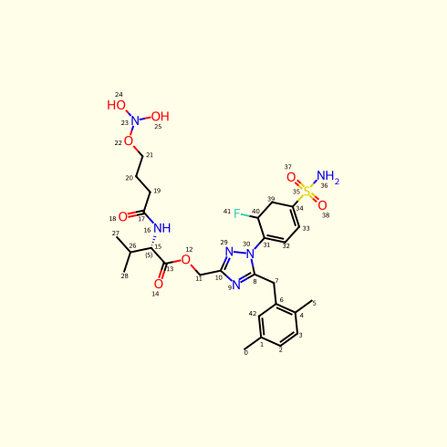 Cc1ccc(C)c(Cc2nc(COC(=O)[C@@H](NC(=O)CCCON(O)O)C(C)C)nn2C2=CC=C(S(N)(=O)=O)CC2F)c1